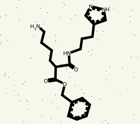 NCCCCC(C(=O)NCCCc1cn[nH]c1)C(=O)OCc1ccccc1